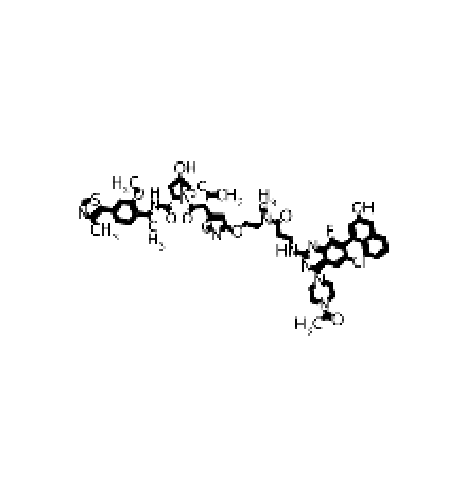 COc1cc(-c2scnc2C)ccc1[C@H](C)NC(=O)[C@@H]1C[C@@H](O)CN1C(=O)[C@@H](c1cc(OCCN(C)C(=O)CCNc2nc(N3CCN(C(C)=O)CC3)c3cc(Cl)c(-c4cc(O)cc5ccccc45)c(F)c3n2)no1)C(C)C